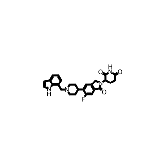 O=C1CCC(N2Cc3cc(C4CCN(Cc5cccc6cc[nH]c56)CC4)c(F)cc3C2=O)C(=O)N1